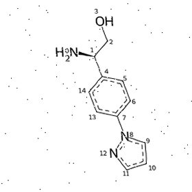 N[C@@H](CO)c1ccc(-n2cccn2)cc1